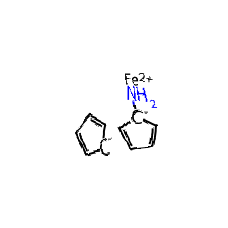 N[c-]1cccc1.[Fe+2].c1cc[cH-]c1